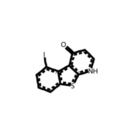 O=c1cc[nH]c2sc3cccc(I)c3c12